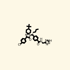 CCCC[C@H](c1ccc(C(=O)NCc2nn[nH]n2)cc1)N1C(=O)C(c2ccc(Cl)cc2)=NC12CCC(C(C)(C)C)CC2